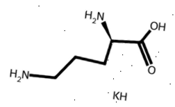 NCCC[C@@H](N)C(=O)O.[KH]